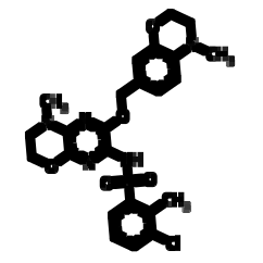 Cc1c(Cl)cccc1S(=O)(=O)Nc1nc2c(nc1OCc1ccc3c(c1)OCCN3C)N(C)CCO2